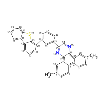 Cc1ccc2c3ccc(C)cc3c3nc(-c4cccc(-c5cccc6c5sc5ccccc56)c4)cnc3c2c1